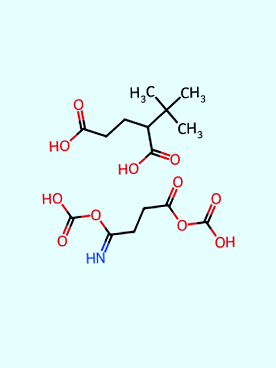 CC(C)(C)C(CCC(=O)O)C(=O)O.N=C(CCC(=O)OC(=O)O)OC(=O)O